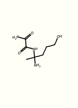 CC(N)(CCCO)NC(=O)C(N)=O